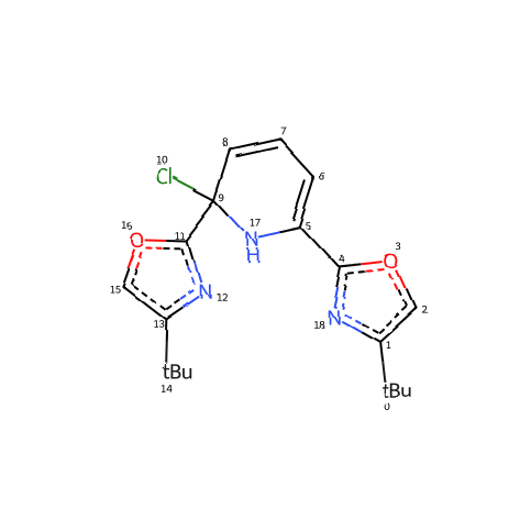 CC(C)(C)c1coc(C2=CC=CC(Cl)(c3nc(C(C)(C)C)co3)N2)n1